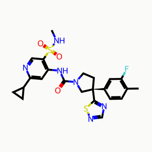 CNS(=O)(=O)c1cnc(C2CC2)cc1NC(=O)N1CC[C@](c2ccc(C)c(F)c2)(c2ncns2)C1